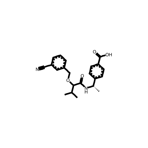 CC(C)C(OCc1cccc(C#N)c1)C(=O)N[C@@H](C)c1ccc(C(=O)O)cc1